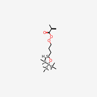 C=C(C)C(=O)OOCCC[SiH2]O[Si]([Si](C)(C)C)([Si](C)(C)C)[Si](C)(C)C